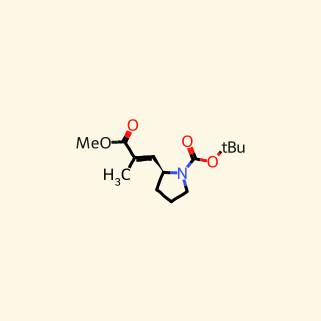 COC(=O)/C(C)=C/[C@@H]1CCCN1C(=O)OC(C)(C)C